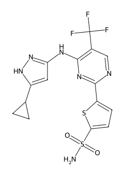 NS(=O)(=O)c1ccc(-c2ncc(C(F)(F)F)c(Nc3cc(C4CC4)[nH]n3)n2)s1